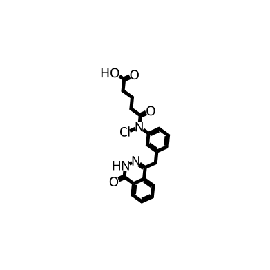 O=C(O)CCCC(=O)N(Cl)c1cccc(Cc2n[nH]c(=O)c3ccccc23)c1